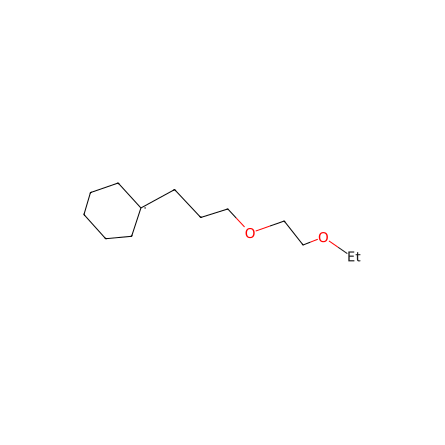 CCOCCOCCC[C]1CCCCC1